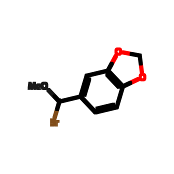 CO[C](Br)c1ccc2c(c1)OCO2